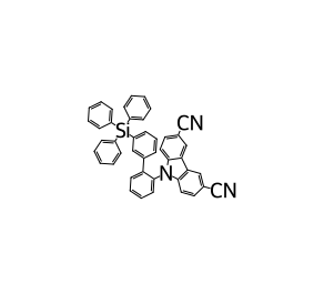 N#Cc1ccc2c(c1)c1cc(C#N)ccc1n2-c1ccccc1-c1cccc([Si](c2ccccc2)(c2ccccc2)c2ccccc2)c1